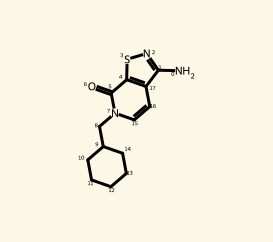 Nc1nsc2c(=O)n(CC3CCCCC3)ccc12